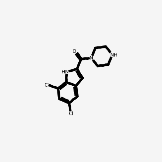 O=C(c1cc2cc(Cl)cc(Cl)c2[nH]1)N1CCNCC1